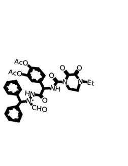 CCN1CCN(C(=O)NC(C(=O)N[N+](C=O)C(c2ccccc2)c2ccccc2)c2ccc(OC(C)=O)c(OC(C)=O)c2)C(=O)C1=O